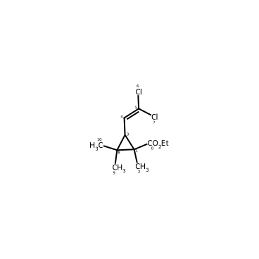 CCOC(=O)C1(C)C(C=C(Cl)Cl)C1(C)C